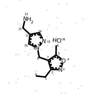 CCc1noc(C)c1Cn1cc(CN)cn1.Cl